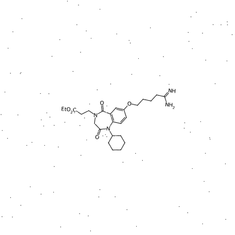 CCOC(=O)CCN1CC(=O)N(C2CCCCC2)c2ccc(OCCCCC(=N)N)cc2C1=O